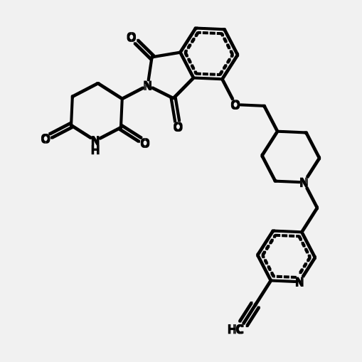 C#Cc1ccc(CN2CCC(COc3cccc4c3C(=O)N(C3CCC(=O)NC3=O)C4=O)CC2)cn1